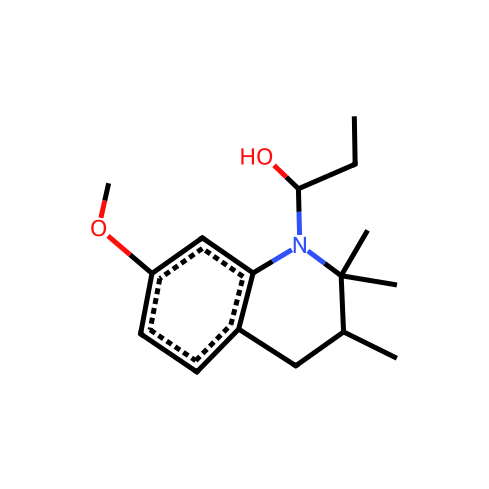 CCC(O)N1c2cc(OC)ccc2CC(C)C1(C)C